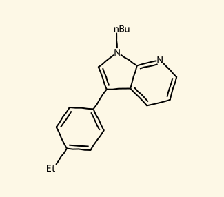 CCCCn1cc(-c2ccc(CC)cc2)c2cccnc21